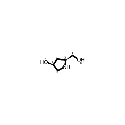 OC[C@@H]1C[C@H](O)CN1